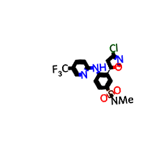 CNS(=O)(=O)c1ccc(Nc2ccc(C(F)(F)F)cn2)c([C@@H]2CC(Cl)=NO2)c1